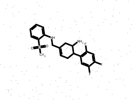 CS(=O)(=O)c1ccccc1NCC1=CCC(c2cc(F)c(F)cc2F)C(N)C1